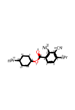 CCCc1ccc(C(=O)OC2CCC(CCC)CC2)c(C#N)c1C#N